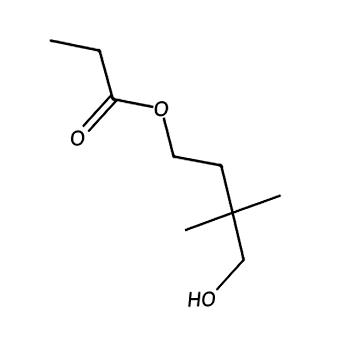 CCC(=O)OCCC(C)(C)CO